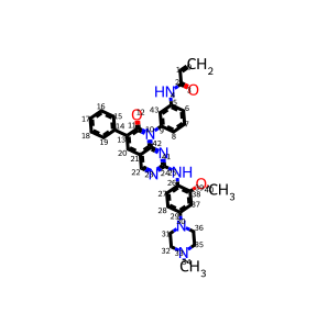 C=CC(=O)Nc1cccc(-n2c(=O)c(-c3ccccc3)cc3cnc(Nc4ccc(N5CCN(C)CC5)cc4OC)nc32)c1